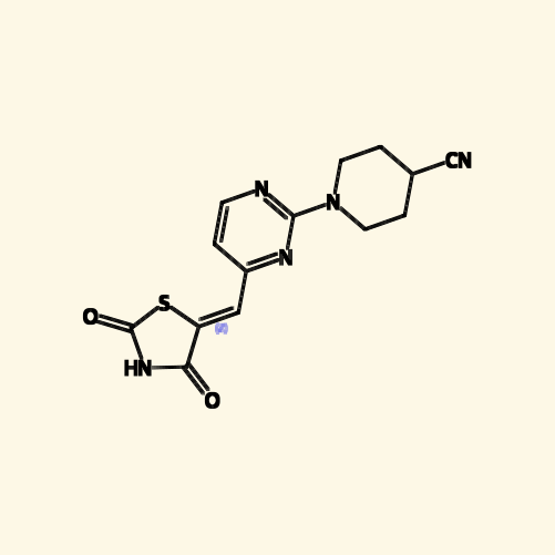 N#CC1CCN(c2nccc(/C=C3\SC(=O)NC3=O)n2)CC1